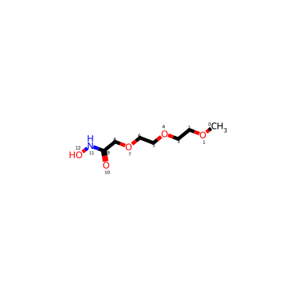 COCCOCCOCC(=O)NO